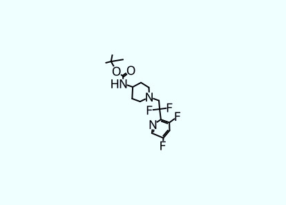 CC(C)(C)OC(=O)NC1CCN(CC(F)(F)c2ncc(F)cc2F)CC1